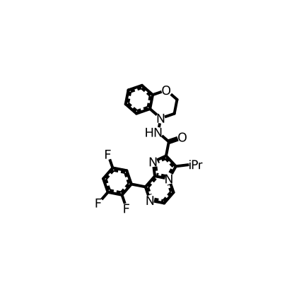 CC(C)c1c(C(=O)NN2CCOc3ccccc32)nc2c(-c3cc(F)cc(F)c3F)nccn12